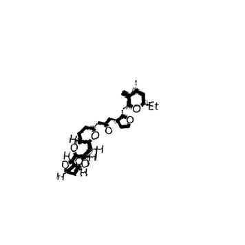 C=C1[C@H](C)C[C@H](CC)O[C@@H]1C[C@@H]1OCC[C@H]1CC(=O)C[C@H]1CC[C@@H]2OC3[C@H]4O[C@@H]5C[C@H]4O[C@H]3[C@@H](O5)C2O1